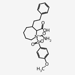 COc1ccc(S(=O)(=O)[N+]2(C(N)=O)CCCCC(CCc3ccccc3)C2C(=O)O)cc1